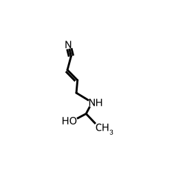 CC(O)NCC=CC#N